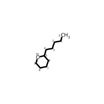 CCCCC[C]1CCCCO1